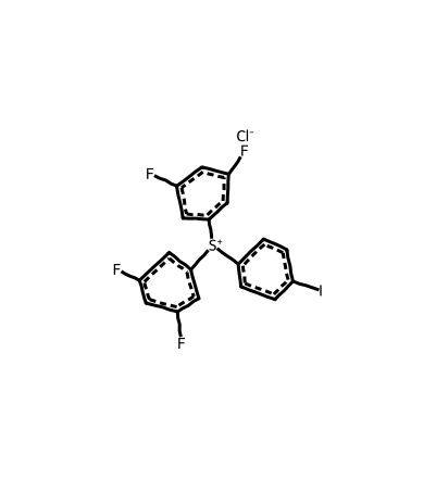 Fc1cc(F)cc([S+](c2ccc(I)cc2)c2cc(F)cc(F)c2)c1.[Cl-]